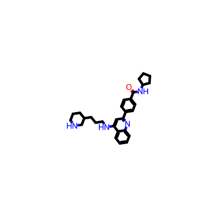 O=C(NC1CCCC1)c1ccc(-c2cc(NCCCC3CCCNC3)c3ccccc3n2)cc1